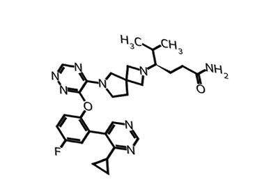 CC(C)[C@@H](CCC(N)=O)N1CC2(CCN(c3ncnnc3Oc3ccc(F)cc3-c3cncnc3C3CC3)C2)C1